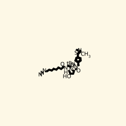 Cc1ncsc1-c1ccc(CNC(=O)[C@@H]2C[C@@H](O)CN2C(=O)[C@H](NC(=O)CCCCCCCN=[N+]=[N-])C(C)(C)C)cc1